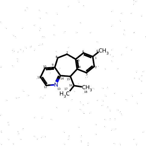 Cc1ccc2c(c1)CCc1cccnc1C2C(C)C